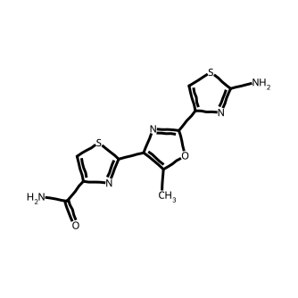 Cc1oc(-c2csc(N)n2)nc1-c1nc(C(N)=O)cs1